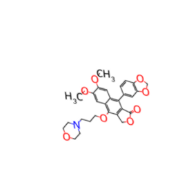 COc1cc2c(OCCCN3CCOCC3)c3c(c(-c4ccc5c(c4)OCO5)c2cc1OC)C(=O)OC3